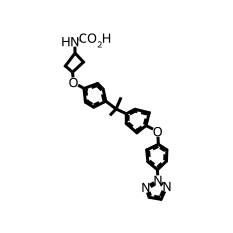 CC(C)(c1ccc(Oc2ccc(-n3nccn3)cc2)cc1)c1ccc(OC2CC(NC(=O)O)C2)cc1